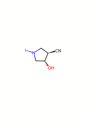 N#C[C@@H]1CN(I)C[C@@H]1O